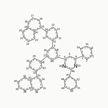 c1ccc(-c2cc(-c3cc(-c4cccc(-c5cccc6ccccc56)c4)cc(-c4cccc(-c5cccc6ccccc56)c4)c3)nc(-c3ccccc3)n2)cc1